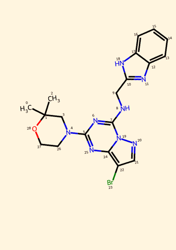 CC1(C)CN(c2nc(NCc3nc4ccccc4[nH]3)n3ncc(Br)c3n2)CCO1